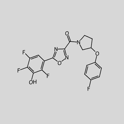 O=C(c1noc(-c2cc(F)c(F)c(O)c2F)n1)N1CCC(Oc2ccc(F)cc2)C1